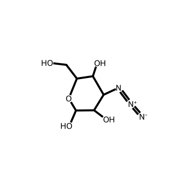 [N-]=[N+]=NC1C(O)C(O)OC(CO)C1O